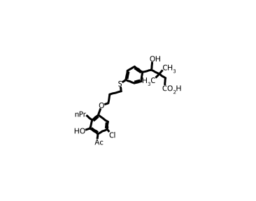 CCCc1c(OCCCSc2ccc(C(O)C(C)(C)CC(=O)O)cc2)cc(Cl)c(C(C)=O)c1O